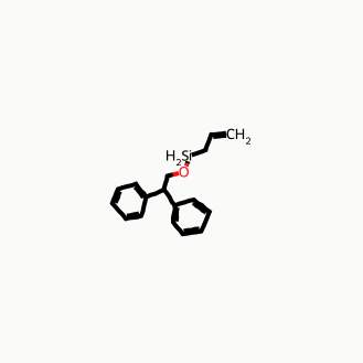 C=CC[SiH2]OCC(c1ccccc1)c1ccccc1